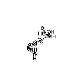 O=C(CCC/C=C/C[C@@H]1[C@@H](CC[C@@H](O)CCc2ccccc2)[C@H](O)C[C@@H]1O)OCCCOC(=O)COc1cccc(CN2CCC[C@H](Nc3ccc4[nH]ncc4c3)C2)c1